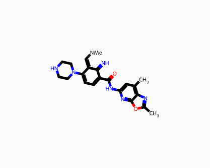 CN/C=C1\C(=N)C(C(=O)Nc2cc(C)c3nc(C)oc3n2)=CC=C1N1CCNCC1